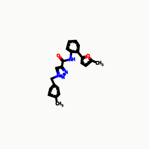 Cc1ccc(Cn2cc(C(=O)Nc3ccccc3-c3ccc(C)o3)nn2)cc1